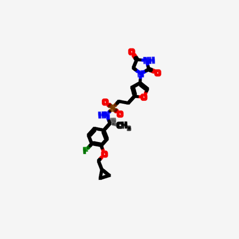 C[C@@H](NS(=O)(=O)CCc1cc(N2CC(=O)NC2=O)co1)c1ccc(F)c(OCC2CC2)c1